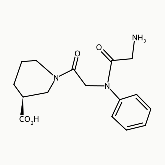 NCC(=O)N(CC(=O)N1CCC[C@H](C(=O)O)C1)c1ccccc1